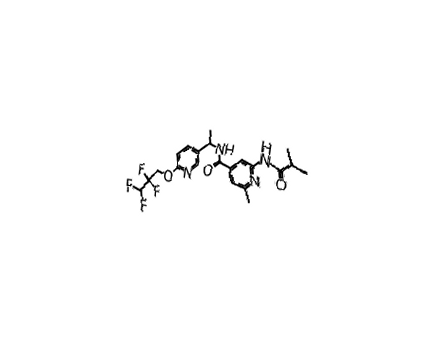 Cc1cc(C(=O)NC(C)c2ccc(OCC(F)(F)C(F)F)nc2)cc(NC(=O)C(C)C)n1